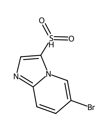 O=[SH](=O)c1cnc2ccc(Br)cn12